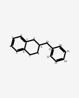 [C]1c2ccccc2CCC1Cc1ccccc1